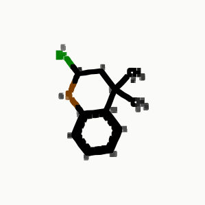 CC1(C)CC(Br)Sc2ccccc21